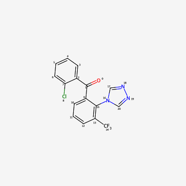 O=C(c1ccccc1Cl)c1cccc(C(F)(F)F)c1-n1cnnc1